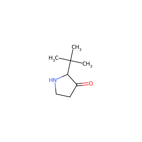 CC(C)(C)C1NCCC1=O